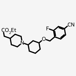 CCOC(=O)CC1CCN(C2CCCC(OCc3ccc(C#N)cc3F)C2)CC1